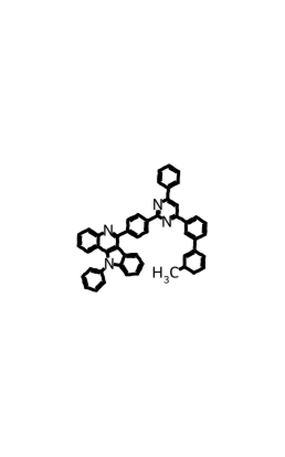 CC1C=C(c2cccc(-c3cc(-c4ccccc4)nc(-c4ccc(-c5nc6ccccc6c6c5c5ccccc5n6-c5ccccc5)cc4)n3)c2)C=CC1